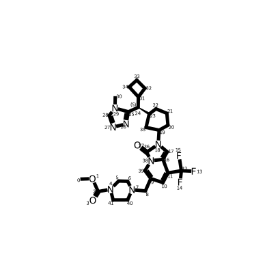 COC(=O)N1CCN(Cc2cc(C(F)(F)F)c3cn(C4CCCC([C@@H](c5nncn5C)C5CCC5)C4)c(=O)n3c2)CC1